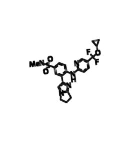 CNS(=O)(=O)c1ccc(Nc2ccc(C(F)(F)OC3CC3)cn2)c(-c2cn3c(n2)CCC3)c1